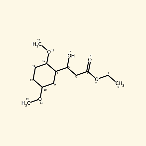 CCOC(=O)CC(O)C1CC(OC)CCC1OC